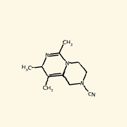 CC1=NC(C)C(C)=C2CN(C#N)CCN12